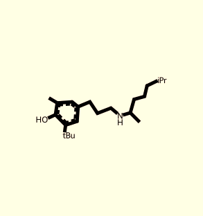 Cc1cc(CCCNC(C)CCCC(C)C)cc(C(C)(C)C)c1O